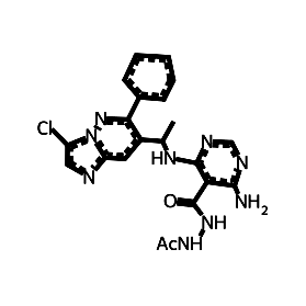 CC(=O)NNC(=O)c1c(N)ncnc1NC(C)c1cc2ncc(Cl)n2nc1-c1ccccc1